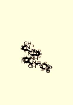 Cc1cccc(-c2nc(Nc3ccncc3C(=O)NCCN3CCS(=O)(=O)CC3)c3cccn3n2)n1